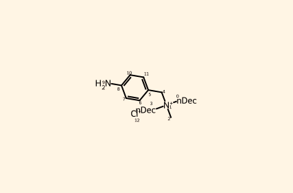 CCCCCCCCCC[N+](C)(CCCCCCCCCC)Cc1ccc(N)cc1.[Cl-]